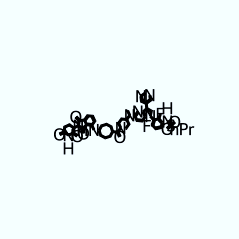 CCCS(=O)(=O)Nc1ccc(F)c(-n2cc(-c3cncnc3)c3nc(N(C)C4CCN(C(=O)C5CCCC(Nc6cccc7c6C(=O)N(C6CCC(=O)NC6=O)C7=O)CCC5)CC4)ccc32)c1F